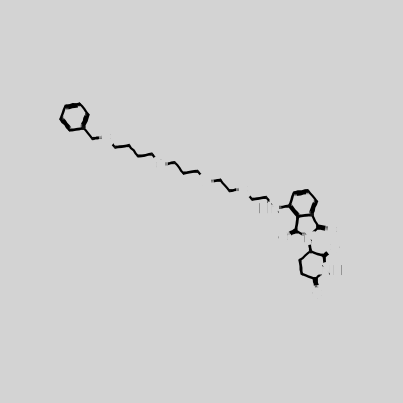 O=C1CCC(N2C(=O)c3cccc(NCCOCCOCCCOCCCCOCc4ccccc4)c3C2=O)C(=O)N1